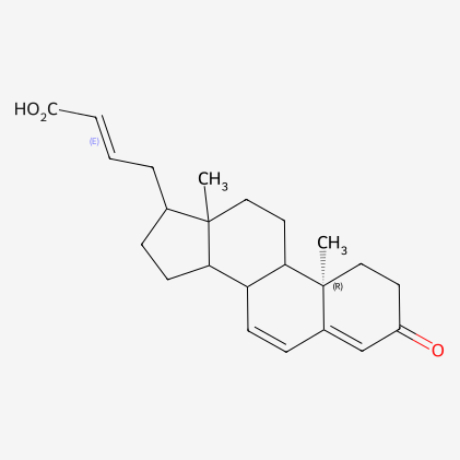 CC12CCC3C(C=CC4=CC(=O)CC[C@@]43C)C1CCC2C/C=C/C(=O)O